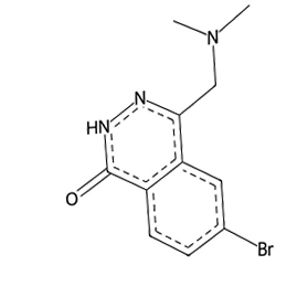 CN(C)Cc1n[nH]c(=O)c2ccc(Br)cc12